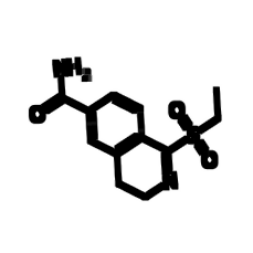 CCS(=O)(=O)C1=NCCc2cc(C(N)=O)ccc21